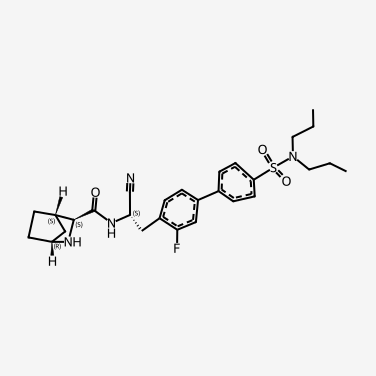 CCCN(CCC)S(=O)(=O)c1ccc(-c2ccc(C[C@@H](C#N)NC(=O)[C@H]3N[C@@H]4CC[C@H]3C4)c(F)c2)cc1